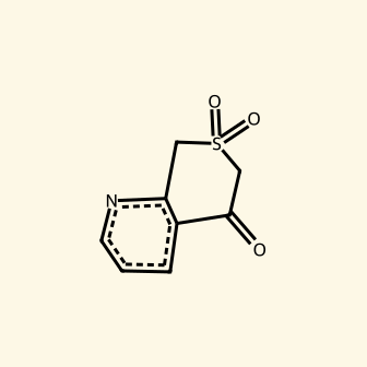 O=C1CS(=O)(=O)Cc2ncccc21